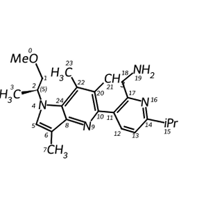 COC[C@H](C)n1cc(C)c2nc(-c3ccc(C(C)C)nc3CN)c(C)c(C)c21